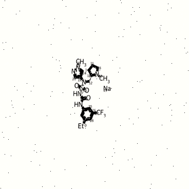 CCc1cc(NC(=O)NS(=O)(=O)N(C[C@@H]2CCCN2C)c2cnn(C)c2)cc(C(F)(F)F)c1.[Na]